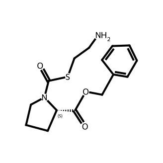 NCCSC(=O)N1CCC[C@H]1C(=O)OCc1ccccc1